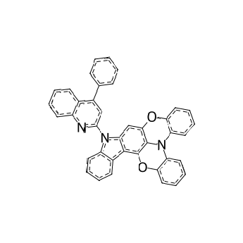 c1ccc(-c2cc(-n3c4ccccc4c4c5c6c(cc43)Oc3ccccc3N6c3ccccc3O5)nc3ccccc23)cc1